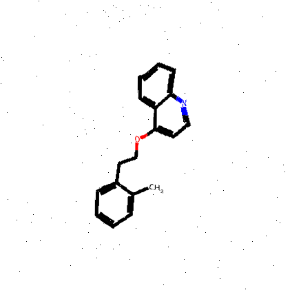 Cc1ccccc1CCOc1ccnc2ccccc12